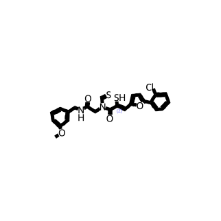 COc1cccc(CNC(=O)CN(C=S)C(=O)/C(S)=C/c2ccc(-c3ccccc3Cl)o2)c1